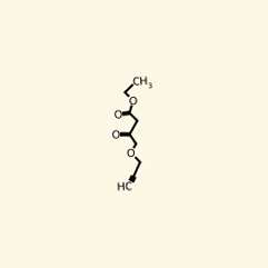 C#CCOCC(=O)CC(=O)OCC